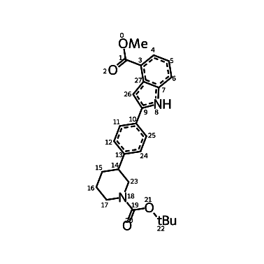 COC(=O)c1cccc2[nH]c(-c3ccc(C4CCCN(C(=O)OC(C)(C)C)C4)cc3)cc12